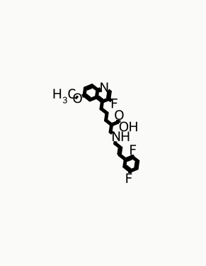 COc1ccc2ncc(F)c(CCCC(CNC/C=C/c3cc(F)ccc3F)C(=O)O)c2c1